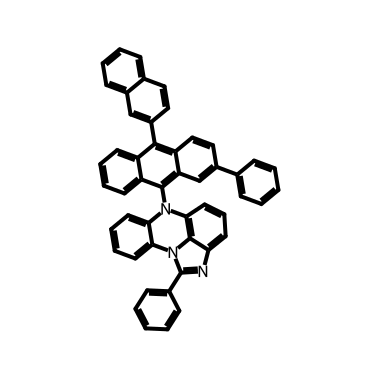 c1ccc(-c2ccc3c(-c4ccc5ccccc5c4)c4ccccc4c(N4c5ccccc5-n5c(-c6ccccc6)nc6cccc4c65)c3c2)cc1